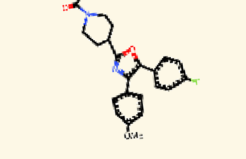 COc1ccc(-c2nc(C3CCN(C(=O)N(C)O)CC3)oc2-c2ccc(F)cc2)cc1